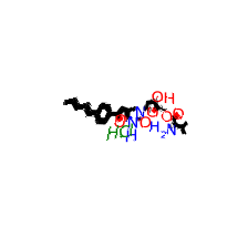 CCCCCc1ccc(-c2cc3c(o2)NC(=O)N([C@H]2C[C@H](O)[C@@H](COC(=O)[C@@H](N)C(C)C)O2)C3)cc1.Cl